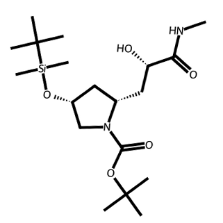 CNC(=O)[C@@H](O)C[C@H]1C[C@@H](O[Si](C)(C)C(C)(C)C)CN1C(=O)OC(C)(C)C